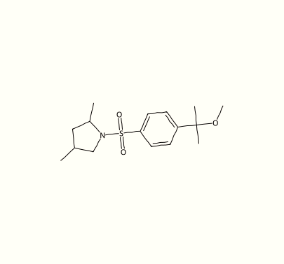 COC(C)(C)c1ccc(S(=O)(=O)N2CC(C)CC2C)cc1